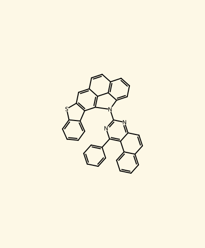 c1ccc(-c2nc(-n3c4cccc5ccc6cc7sc8ccccc8c7c3c6c54)nc3ccc4ccccc4c23)cc1